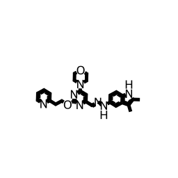 Cc1[nH]c2ccc(N/N=C/c3cc(N4CCOCC4)nc(OCCc4ccccn4)n3)cc2c1C